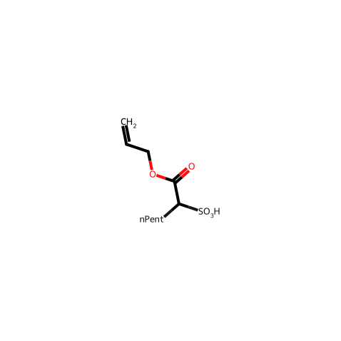 C=CCOC(=O)C(CCCCC)S(=O)(=O)O